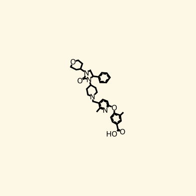 Cc1cc(C(=O)O)ccc1Oc1ccc(CN2CCC(N3C(=O)N(C4CCOCC4)CC3c3ccccc3)CC2)c(C)n1